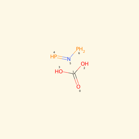 O=C(O)O.P=NP